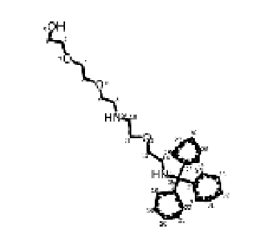 OCCOCCOCCNCCOCCNC(c1ccccc1)(c1ccccc1)c1ccccc1